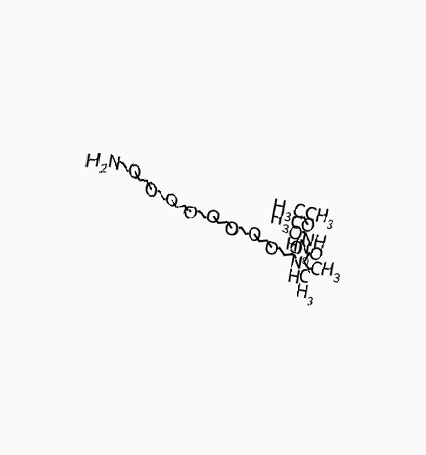 CC(C)[C@H](NC(=O)CCOCCOCCOCCOCCOCCOCCOCCOCCN)C(=O)NNC(=O)OC(C)(C)C